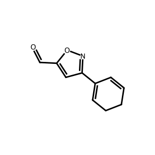 O=Cc1cc(C2=CCCC=C2)no1